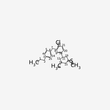 CCCc1ccc(Cc2cc(C3CC(C)CC(SC)C3)ccc2Cl)cc1